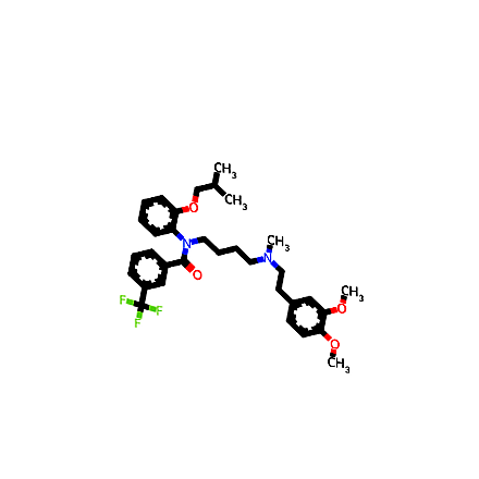 COc1ccc(CCN(C)CCCCN(C(=O)c2cccc(C(F)(F)F)c2)c2ccccc2OCC(C)C)cc1OC